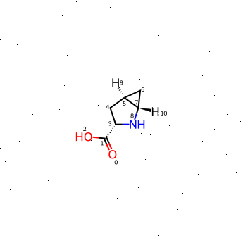 O=C(O)[C@@H]1C[C@H]2C[C@@H]2N1